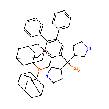 PC(c1cc(-c2ccccc2)c(-c2ccccc2)cc1CP(C12CC3CC(CC(C3)C1)C2)C12CC3CC(CC(C3)C1)C2)(C1CCNC1)C1CCNC1